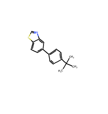 CC(C)(C)c1ccc(-c2ccc3scnc3c2)cc1